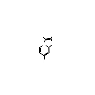 CC1=C(C)N2C=CC(Br)=CC2N1